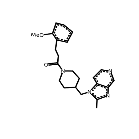 COc1ccccc1CCC(=O)N1CCC(Cn2c(C)nc3cnccc32)CC1